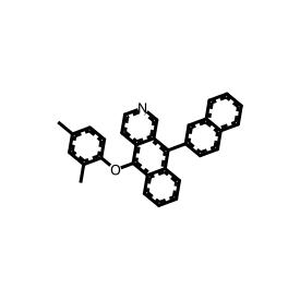 Cc1ccc(Oc2c3ccccc3c(-c3ccc4ccccc4c3)c3cnccc23)c(C)c1